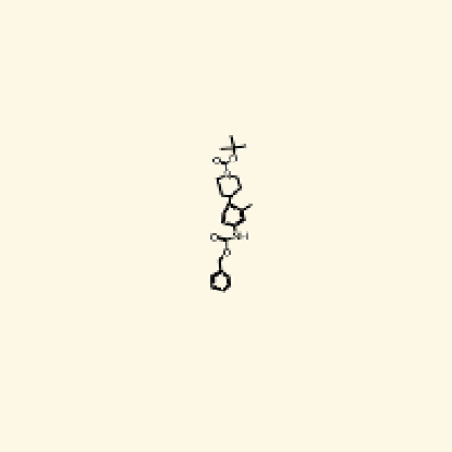 Cc1cc(NC(=O)OCc2ccccc2)ccc1C1CCN(C(=O)OC(C)(C)C)CC1